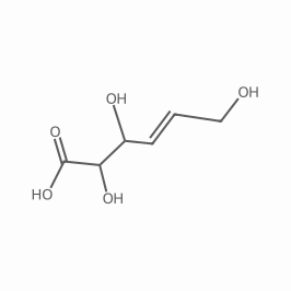 O=C(O)C(O)C(O)C=CCO